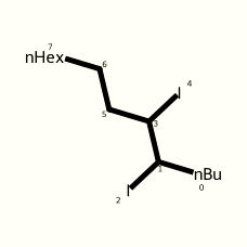 [CH2]CCCC(I)C(I)CCCCCCCC